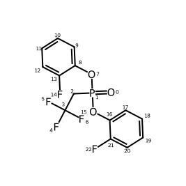 O=P(CC(F)(F)F)(Oc1ccccc1F)Oc1ccccc1F